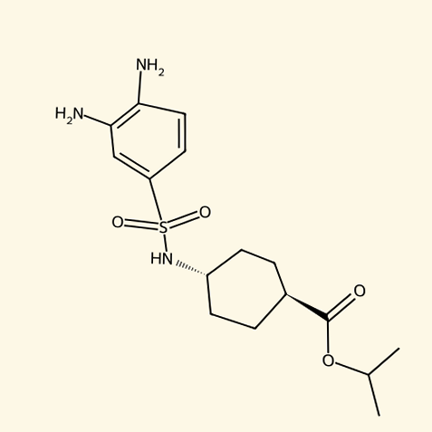 CC(C)OC(=O)[C@H]1CC[C@H](NS(=O)(=O)c2ccc(N)c(N)c2)CC1